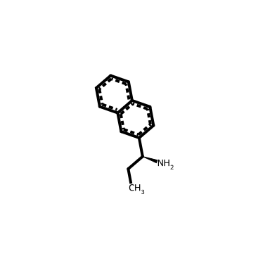 CC[C@H](N)c1ccc2ccccc2c1